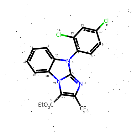 CCOC(=O)c1c(C(F)(F)F)nc2n(-c3ccc(Cl)cc3Cl)c3ccccc3n12